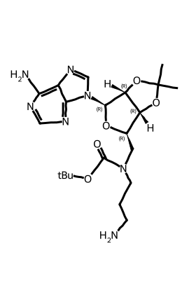 CC(C)(C)OC(=O)N(CCCN)C[C@H]1O[C@@H](n2cnc3c(N)ncnc32)[C@@H]2OC(C)(C)O[C@@H]21